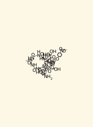 CC[C@H](C)[C@@H]1NC(=O)CNC(=O)[C@H]2Cc3c([nH]c4cc(OC(=O)Oc5ccc([N+](=O)[O-])cc5)ccc34)[S@+]([O-])C[C@H](NC(=O)CNC1=O)C(=O)N[C@@H](CC(N)=O)C(=O)N1C[C@H](O)C[C@H]1C(=O)N[C@@H]([C@@H](C)[C@@H](O)CO)C(=O)N2